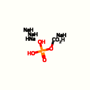 O=C(O)OP(=O)(O)O.[NaH].[NaH].[NaH].[NaH]